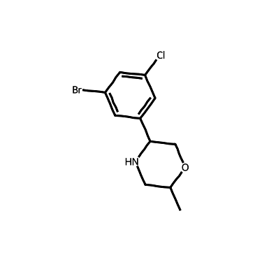 CC1CNC(c2cc(Cl)cc(Br)c2)CO1